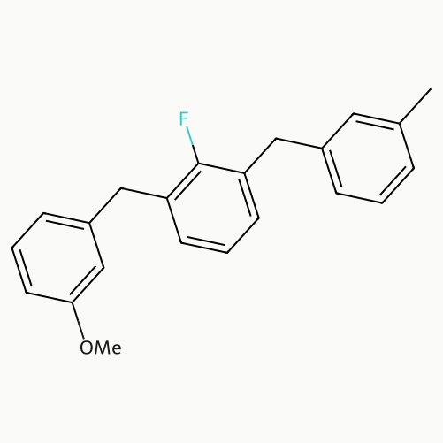 COc1cccc(Cc2cccc(Cc3cccc(C)c3)c2F)c1